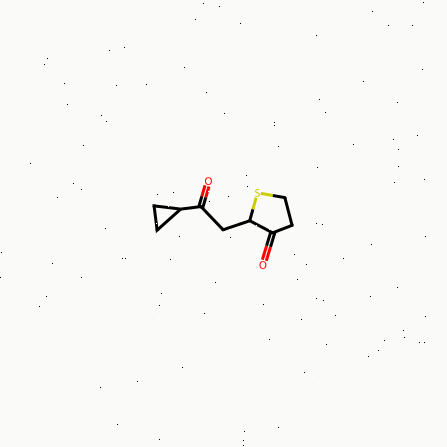 O=C(CC1SCCC1=O)C1CC1